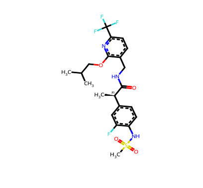 CC(C)COc1nc(C(F)(F)F)ccc1CNC(=O)[C@H](C)c1ccc(NS(C)(=O)=O)c(F)c1